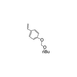 C=Cc1ccc(OCOCCCC)cc1